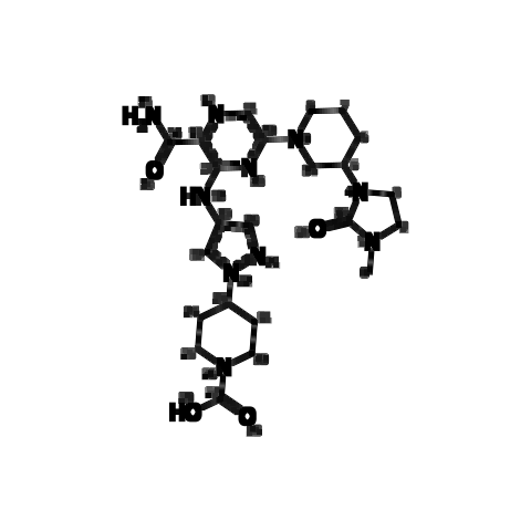 CN1CCN(C2CCCN(c3cnc(C(N)=O)c(Nc4cnn(C5CCN(C(=O)O)CC5)c4)n3)C2)C1=O